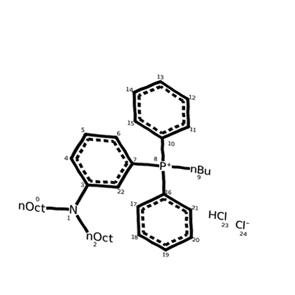 CCCCCCCCN(CCCCCCCC)c1cccc([P+](CCCC)(c2ccccc2)c2ccccc2)c1.Cl.[Cl-]